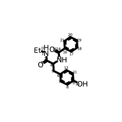 CCNC(=O)C(Cc1ccc(O)cc1)NC(=O)c1ccccc1